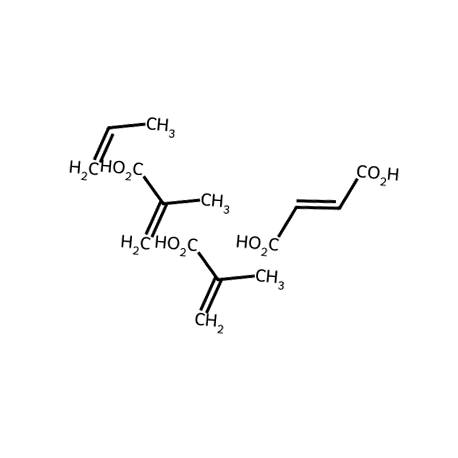 C=C(C)C(=O)O.C=C(C)C(=O)O.C=CC.O=C(O)C=CC(=O)O